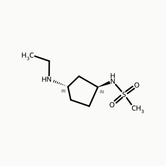 CCN[C@H]1CC[C@H](NS(C)(=O)=O)C1